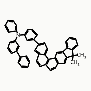 CC1(C)c2ccccc2-c2cc3c(ccc4ccc5cc(-c6cccc(N(c7ccccc7)c7cccc(-c8ccccc8)c7)c6)ccc5c43)cc21